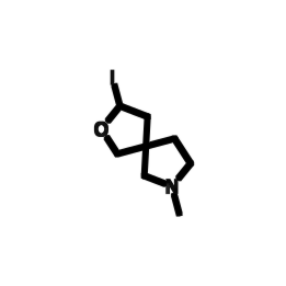 CN1CCC2(COC(I)C2)C1